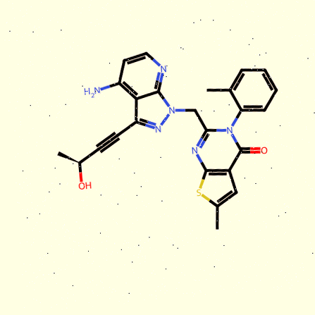 Cc1cc2c(=O)n(-c3ccccc3C)c(Cn3nc(C#C[C@H](C)O)c4c(N)ccnc43)nc2s1